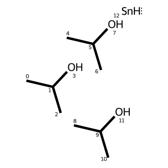 CC(C)O.CC(C)O.CC(C)O.[SnH]